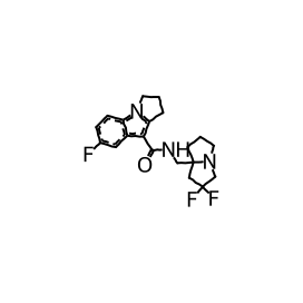 O=C(NCC12CCCN1CC(F)(F)C2)c1c2n(c3ccc(F)cc13)CCC2